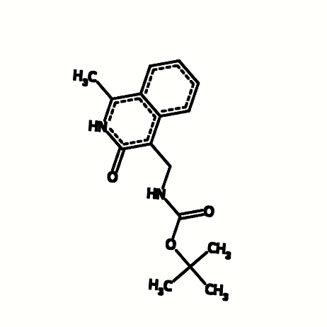 Cc1[nH]c(=O)c(CNC(=O)OC(C)(C)C)c2ccccc12